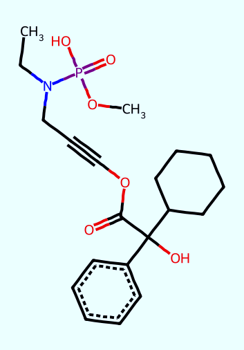 CCN(CC#COC(=O)C(O)(c1ccccc1)C1CCCCC1)P(=O)(O)OC